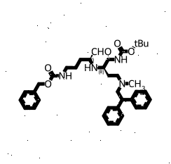 CN(CC[C@H](CNC(=O)OC(C)(C)C)N[C@@H](C=O)CCCNC(=O)OCc1ccccc1)CC(c1ccccc1)c1ccccc1